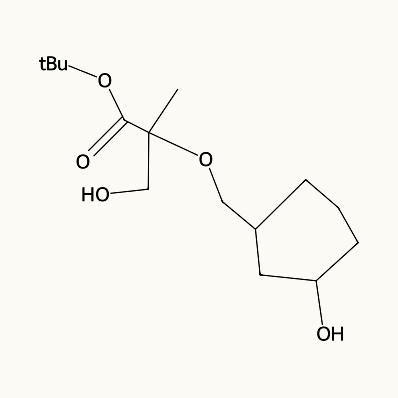 CC(C)(C)OC(=O)C(C)(CO)OCC1CCCC(O)C1